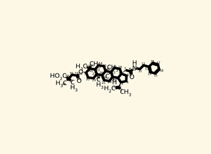 C=C(C)[C@@H]1CC[C@]2(CC(=O)NCCc3ccccc3)CC[C@]3(C)[C@H](CCC4[C@@]5(C)CC[C@H](OC(=O)CC(C)(C)C(=O)O)C(C)(C)C5CC[C@]43C)C12